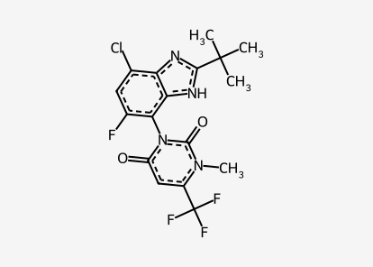 Cn1c(C(F)(F)F)cc(=O)n(-c2c(F)cc(Cl)c3nc(C(C)(C)C)[nH]c23)c1=O